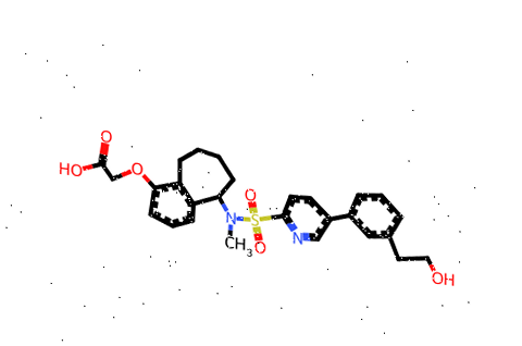 CN(C1CCCCc2c(OCC(=O)O)cccc21)S(=O)(=O)c1ccc(-c2cccc(CCO)c2)cn1